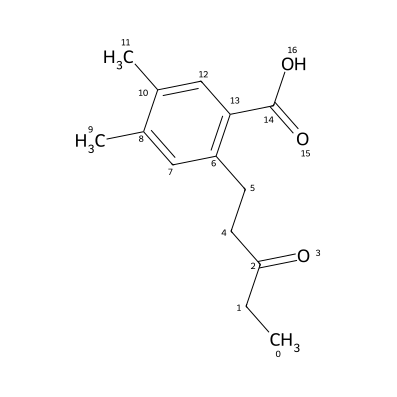 CCC(=O)CCc1cc(C)c(C)cc1C(=O)O